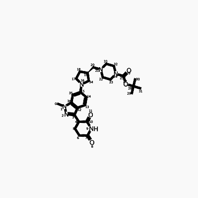 Cn1nc(C2CCC(=O)NC2=O)c2ccc(N3CC[C@@H](CN4CCN(C(=O)OC(C)(C)C)CC4)C3)cc21